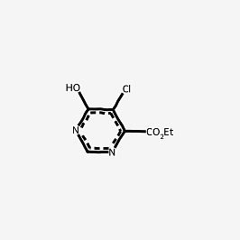 CCOC(=O)c1ncnc(O)c1Cl